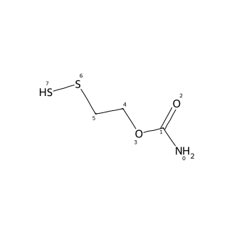 NC(=O)OCCSS